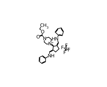 CCOC(=O)N1CC[N+](=C2/C(=C\Nc3ccccc3)CC/C2=C\Nc2ccccc2)CC1.F[B-](F)(F)F